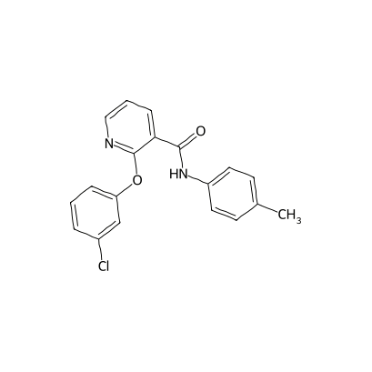 Cc1ccc(NC(=O)c2cccnc2Oc2cccc(Cl)c2)cc1